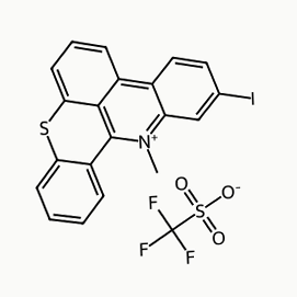 C[n+]1c2c3c(cccc3c3ccc(I)cc31)Sc1ccccc1-2.O=S(=O)([O-])C(F)(F)F